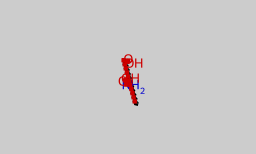 C=C(CCCCCCCCCCCCCCCCCCCCC)C(=O)O.NCC(=O)O